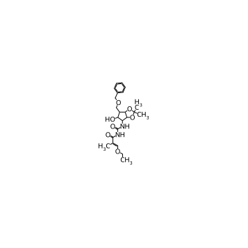 CCOC=C(C)C(=O)NC(=O)NC1C(O)C(COCc2ccccc2)C2OC(C)(C)OC12